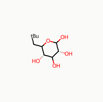 CC(C)(C)CC1OC(O)[C@H](O)C(O)[C@@H]1O